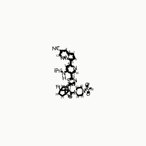 CC(C)Nc1cc(-c2ccc3cc(C#N)cnn23)ncc1-c1nnc(N2C[C@H]3CC[C@@H](C2)[C@@H]3NC(=O)N2CCN(S(C)(=O)=O)CC2)s1